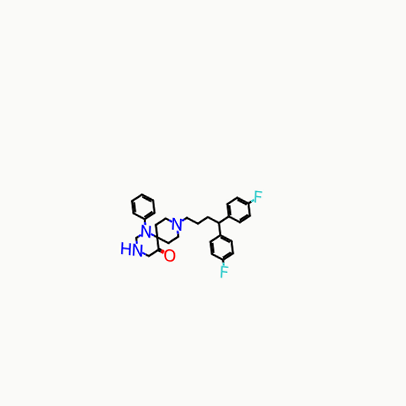 O=C1CNCN(c2ccccc2)C12CCN(CCCC(c1ccc(F)cc1)c1ccc(F)cc1)CC2